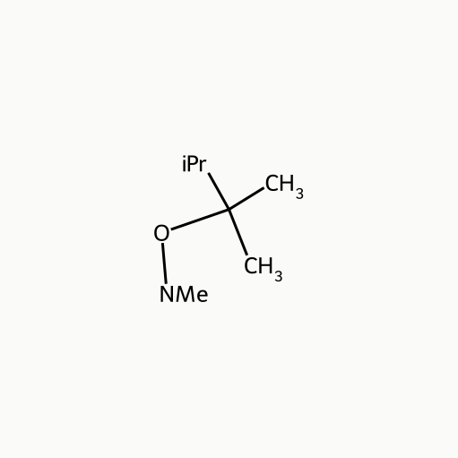 CNOC(C)(C)C(C)C